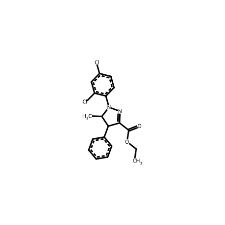 CCOC(=O)C1=NN(c2ccc(Cl)cc2Cl)C(C)C1c1ccccc1